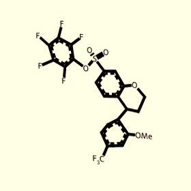 COc1cc(C(F)(F)F)ccc1C1CCOc2cc(S(=O)(=O)Oc3c(F)c(F)c(F)c(F)c3F)ccc21